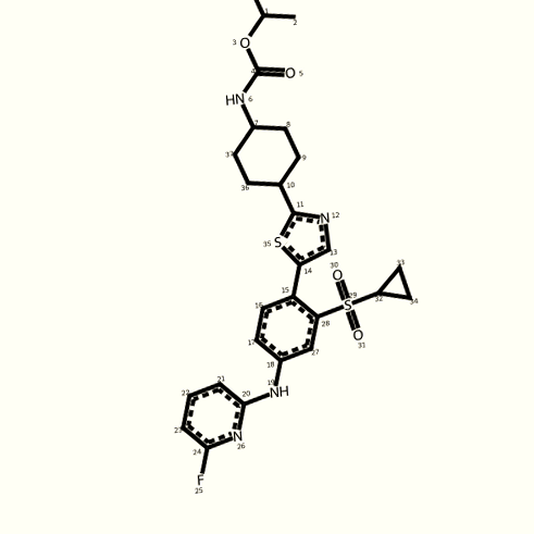 CC(C)OC(=O)NC1CCC(c2ncc(-c3ccc(Nc4cccc(F)n4)cc3S(=O)(=O)C3CC3)s2)CC1